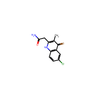 Cc1c(CC(N)=O)[nH]c2ccc(Cl)cc2c1=S